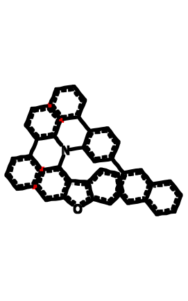 c1ccc(-c2ccccc2N(c2cc(-c3ccc4ccccc4c3)ccc2-c2ccccc2)c2cccc3oc4ccccc4c23)cc1